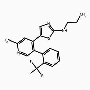 CCCNc1ncc(-c2cc(N)ncc2-c2ccccc2C(F)(F)F)s1